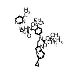 Cc1ccnc([C@H]2C[C@@H]2C(=O)Nc2cc(N(Cc3cn4cc(C5CC5)ccc4n3)C(=O)OC(C)(C)C)ccc2S(C)(=O)=O)n1